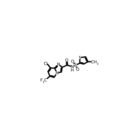 Cc1csc(S(=O)(=O)NC(=O)c2cn3cc(C(F)(F)F)cc(Cl)c3n2)c1